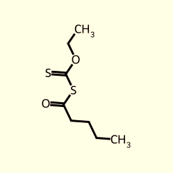 CCCCC(=O)SC(=S)OCC